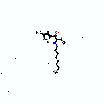 CCCCCCCCNC(CC)C(O)c1cc(C)cs1